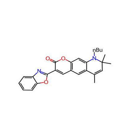 CCCCN1c2cc3oc(=O)c(-c4nc5ccccc5o4)cc3cc2C(C)=CC1(C)C